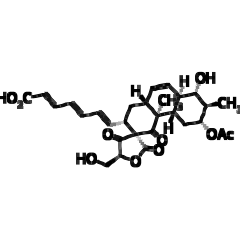 CC(=O)O[C@@H]1C[C@H]2[C@@H](C=C[C@H]3C[C@@H](/C=C/C=C/C=C/C(=O)O)[C@@]4(C(=O)O[C@@H](CO)C4=O)C(=O)[C@@]32C)[C@H](O)[C@H]1C